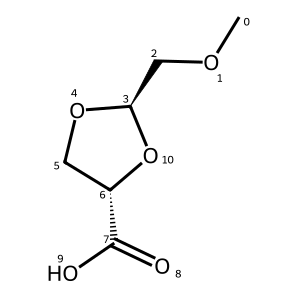 COC[C@@H]1OC[C@@H](C(=O)O)O1